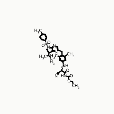 CCOC(=O)NC(=O)C(C#N)=NNc1cc(C)c(Cc2cnc3c(n2)c(C(C)C)cn3S(=O)(=O)c2ccc(C)cc2)c(C)c1